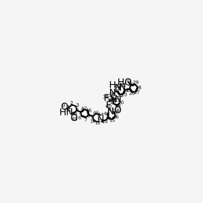 O=C1CCC(c2ccc(C3CCN(Cc4ccc(O[C@H]5CN6c7cc(-c8ccccc8O)nnc7NC[C@@]6(C(F)F)C5)nc4)CC3)cc2)C(=O)N1